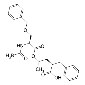 BC(=O)N[C@@H](COCc1ccccc1)C(=O)O[C@@H](C)C[C@@H](Cc1ccccc1)C(=O)O